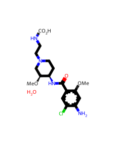 COc1cc(N)c(Cl)cc1C(=O)N[C@@H]1CCN(CCNC(=O)O)C[C@@H]1OC.O